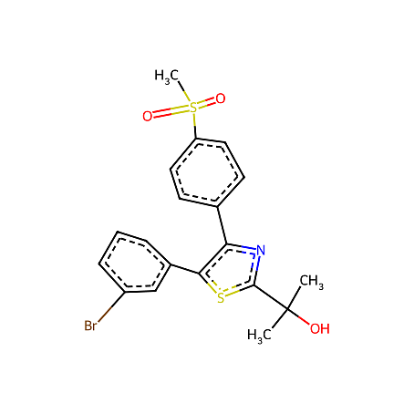 CC(C)(O)c1nc(-c2ccc(S(C)(=O)=O)cc2)c(-c2cccc(Br)c2)s1